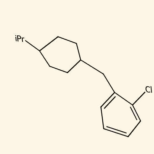 CC(C)C1CCC(Cc2ccccc2Cl)CC1